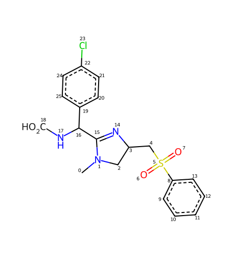 CN1CC(CS(=O)(=O)c2ccccc2)N=C1C(NC(=O)O)c1ccc(Cl)cc1